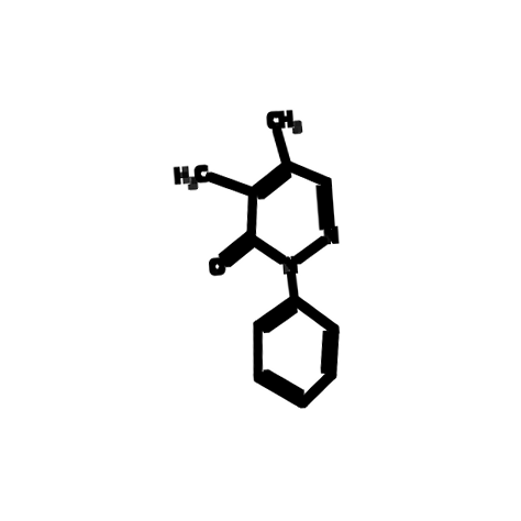 Cc1cnn(-c2ccccc2)c(=O)c1C